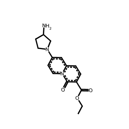 CCOC(=O)c1ccc2cc(N3CCC(N)C3)ccn2c1=O